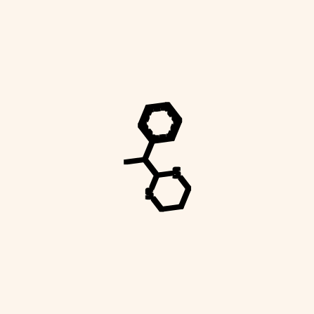 CC(c1ccccc1)C1SCCCS1